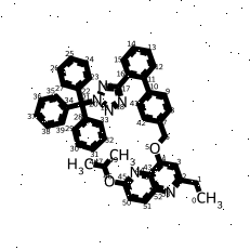 CCc1cc(OCc2ccc(-c3ccccc3-c3nnn(C(c4ccccc4)(c4ccccc4)c4ccccc4)n3)cc2)c2nc(OC(C)C)ccc2n1